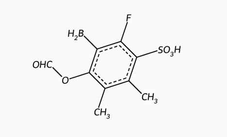 Bc1c(F)c(S(=O)(=O)O)c(C)c(C)c1OC=O